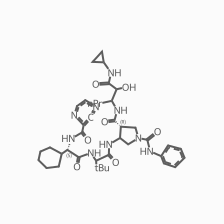 CCCC(NC(=O)[C@@H]1CN(C(=O)Nc2ccccc2)CC1NC(=O)C(NC(=O)[C@@H](NC(=O)c1cnccn1)C1CCCCC1)C(C)(C)C)C(O)C(=O)NC1CC1